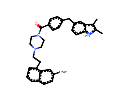 COc1ccc2cccc(CCN3CCN(C(=O)c4ccc(Cc5ccc6[nH]c(C)c(C)c6c5)cc4)CC3)c2c1